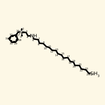 C[N+](C)(CCNCCCCCCCCCCCCCCCCCCC[SiH3])Cc1ccccc1